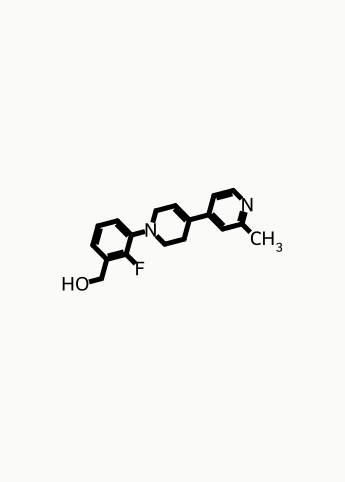 Cc1cc(C2=CCN(c3cccc(CO)c3F)CC2)ccn1